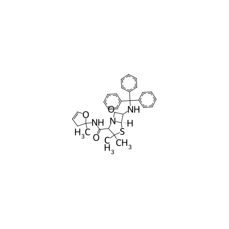 CC1(NC(=O)C2N3C(=O)C(NC(c4ccccc4)(c4ccccc4)c4ccccc4)[C@H]3SC2(C)C)CC=CO1